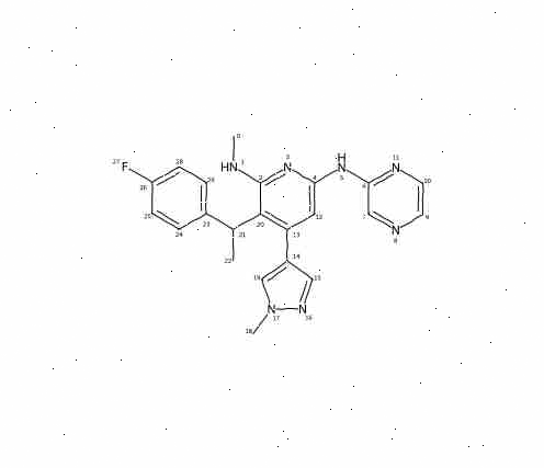 CNc1nc(Nc2cnccn2)cc(-c2cnn(C)c2)c1C(C)c1ccc(F)cc1